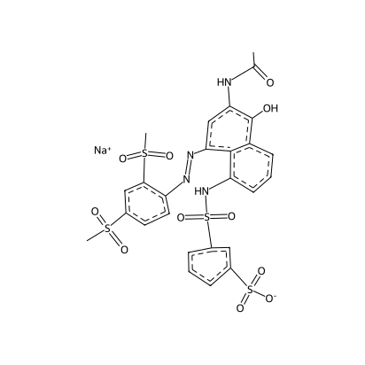 CC(=O)Nc1cc(N=Nc2ccc(S(C)(=O)=O)cc2S(C)(=O)=O)c2c(NS(=O)(=O)c3cccc(S(=O)(=O)[O-])c3)cccc2c1O.[Na+]